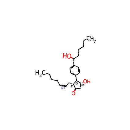 CCCC/C=C\C[C@H]1C(=O)C[C@@H](O)[C@@H]1c1ccc(C(O)CCCCC)cc1